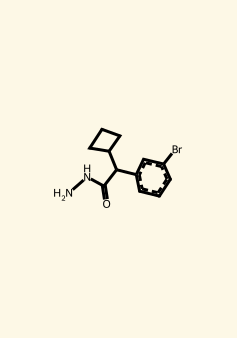 NNC(=O)C(c1cccc(Br)c1)C1CCC1